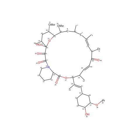 CCC1/C=C(\C)CC(C)CC(OC)C2OC(O)(C(=O)C(=O)N3CCCCC3C(=O)OC(C(C)=CC3CCC(O)C(OC(C)C)C3)C(C)/C=C/C1=O)C(C)CC2OC